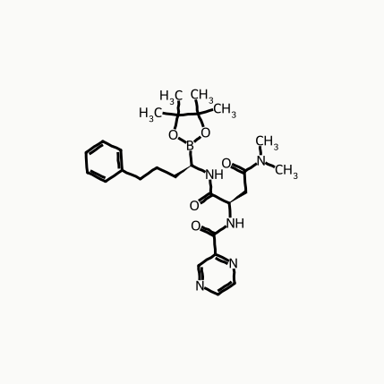 CN(C)C(=O)C[C@@H](NC(=O)c1cnccn1)C(=O)N[C@@H](CCCc1ccccc1)B1OC(C)(C)C(C)(C)O1